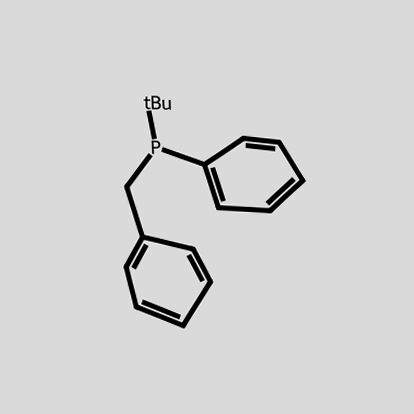 CC(C)(C)P(Cc1ccccc1)c1ccccc1